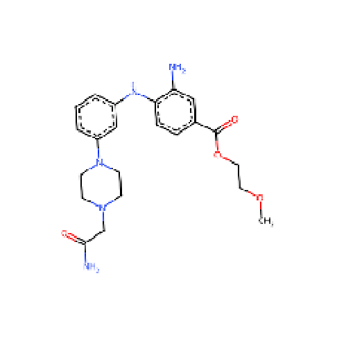 COCCOC(=O)c1ccc(Nc2cccc(N3CCN(CC(N)=O)CC3)c2)c(N)c1